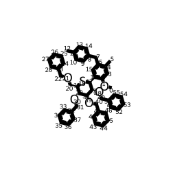 COc1cc(C)c(Cc2ccc(C)cc2)cc1[C@@H]1S[C@H](COCc2ccccc2)[C@@H](OCc2ccccc2)[C@H](OCc2ccccc2)[C@H]1OCc1ccccc1